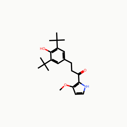 COc1cc[nH]c1C(=O)CCc1cc(C(C)(C)C)c(O)c(C(C)(C)C)c1